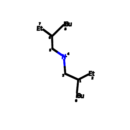 CCC(C)C(CC)C[N]CC(CC)C(C)CC